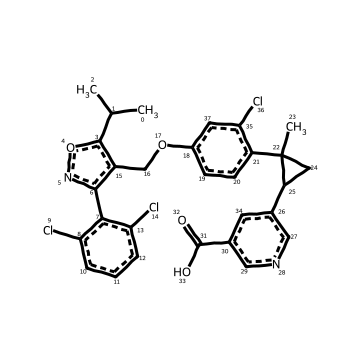 CC(C)c1onc(-c2c(Cl)cccc2Cl)c1COc1ccc(C2(C)CC2c2cncc(C(=O)O)c2)c(Cl)c1